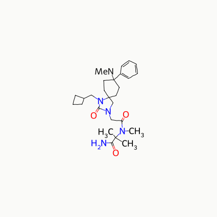 CNC1(c2ccccc2)CCC2(CC1)CN(CC(=O)N(C)C(C)(C)C(N)=O)C(=O)N2CC1CCC1